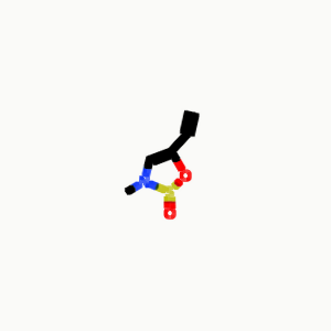 C#CC1=CN(C)S(=O)O1